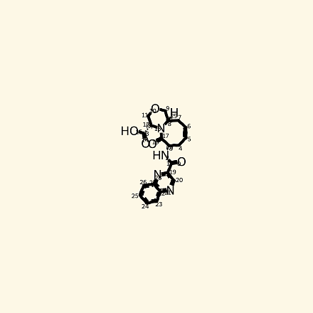 O=C(N[C@H]1CC=CC[C@H]2COC[C@@H](C(=O)O)N2C1=O)c1cnc2ccccc2n1